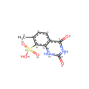 Cc1ccc2c(=O)[nH]c(=O)[nH]c2c1S(=O)(=O)O